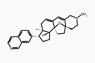 C[C@]12CC=C3C=C4CN(N)CC[C@]45CC[C@]3(O5)[C@@H]1CC[C@@H]2c1ccc2ccncc2c1